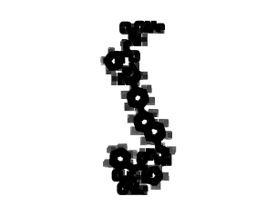 COC(=O)NCC(=O)N1CCC[C@H]1c1ncc(-c2ccc(-c3ccc4cc(-c5cnc([C@@H]6CCCN6C(=O)C(NC(=O)OC)c6ccccc6)[nH]5)ccc4c3)cc2)[nH]1